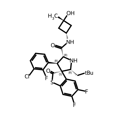 CC(C)(C)C[C@H]1N[C@@H](C(=O)N[C@H]2C[C@@](C)(O)C2)[C@H](c2cccc(Cl)c2F)[C@@]12C(=O)Sc1cc(F)c(F)cc12